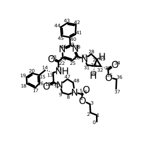 CCCCOC(=O)N1CCN(C(=O)[C@H](Cc2ccccc2)NC(=O)c2cc(N3C[C@@H]4[C@H](C3)[C@H]4C(=O)OCC)nc(-c3ccccc3)n2)CC1